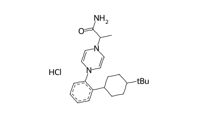 CC(C(N)=O)N1C=CN(c2ccccc2C2CCC(C(C)(C)C)CC2)C=C1.Cl